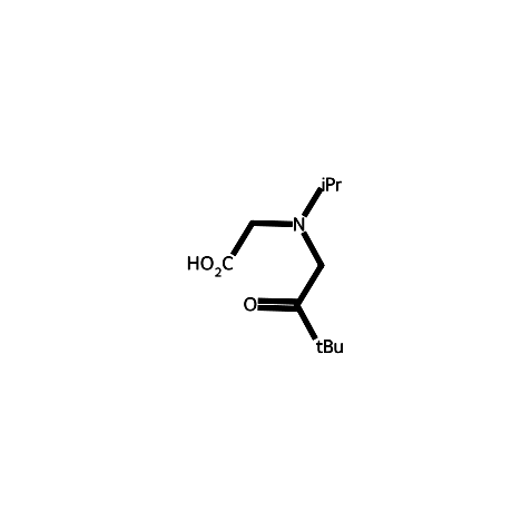 CC(C)N(CC(=O)O)CC(=O)C(C)(C)C